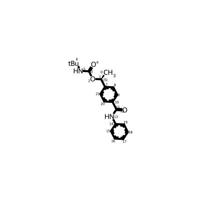 C[C@H](OC(=O)NC(C)(C)C)c1ccc(C(=O)Nc2ccccc2)cc1